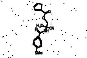 CSc1ccc(C(=O)NC(C)(C#N)COC(=O)C2=CC=CC2)cc1